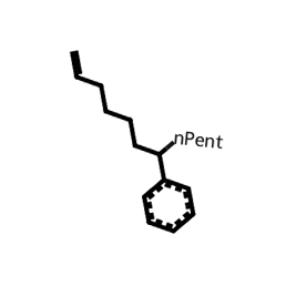 C=CCCCCC(CCCCC)c1ccccc1